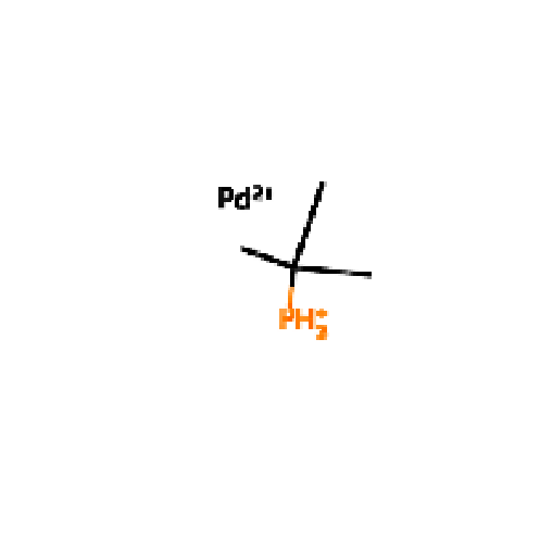 CC(C)(C)[PH3+].[Pd+2]